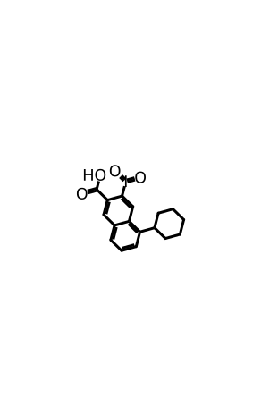 O=C(O)c1cc2cccc(C3CCCCC3)c2cc1I(=O)=O